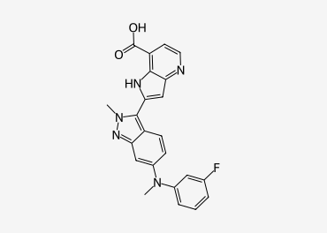 CN(c1cccc(F)c1)c1ccc2c(-c3cc4nccc(C(=O)O)c4[nH]3)n(C)nc2c1